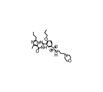 CCCOc1ccc(S(=O)(=O)NCCCN2CCOCC2)cc1-c1nn2c(CCC)nc(C)c2c(=O)[nH]1